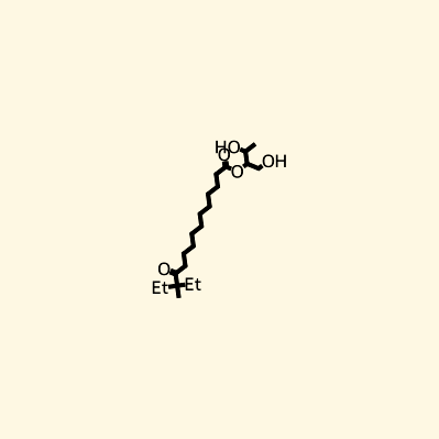 CCC(C)(CC)C(=O)CCCCCCCCCCC(=O)OC(CO)C(C)O